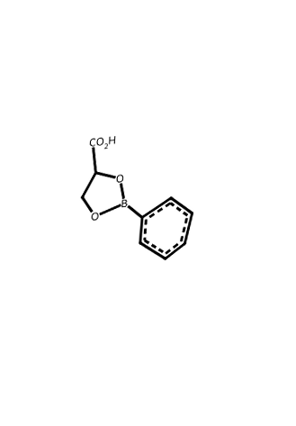 O=C(O)C1COB(c2ccccc2)O1